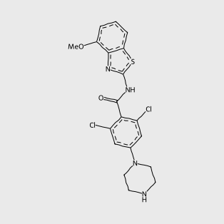 COc1cccc2sc(NC(=O)c3c(Cl)cc(N4CCNCC4)cc3Cl)nc12